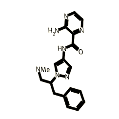 CNCC(Cc1ccccc1)n1cc(NC(=O)c2nccnc2N)cn1